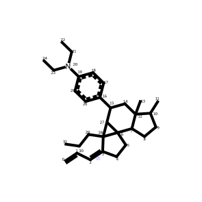 C=C/C=C1/CCC23C4CCC(C)C4(C)CC(c4ccc(N(CC)CC)cc4)C2C13CCC